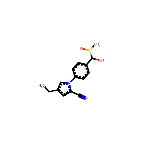 CCc1cc(C#N)n(-c2ccc(C(O)[S+](C)[O-])cc2)c1